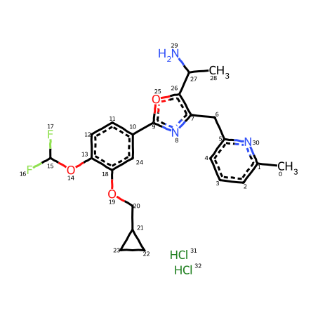 Cc1cccc(Cc2nc(-c3ccc(OC(F)F)c(OCC4CC4)c3)oc2C(C)N)n1.Cl.Cl